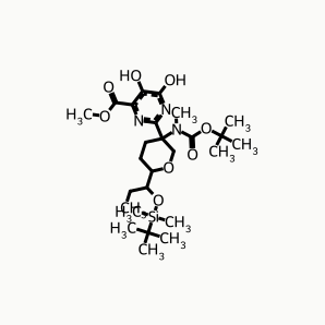 CCC(O[Si](C)(C)C(C)(C)C)C1CCC(c2nc(O)c(O)c(C(=O)OC)n2)(N(C)C(=O)OC(C)(C)C)CO1